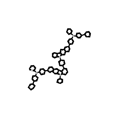 c1ccc(-c2ccc(N(c3ccccc3)c3ccc(-c4ccc5cc6c(cc5c4)c4ccccc4n6-c4ccc(-c5cccc6c5c5cc7ccc(-c8ccc(N(c9ccccc9)c9ccc(-c%10ccccc%10)cc9)cc8)cc7cc5n6-c5ccccc5)cc4)cc3)cc2)cc1